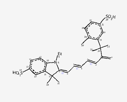 C=C(/C=C/C=C/C=C1\N(CC)c2ccc(S(=O)(=O)O)cc2C1(C)C)C(C)(C)c1cc(S(=O)(=O)O)ccc1C